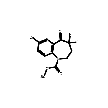 CC(C)(C)OC(=O)N1CCC(F)(F)C(=O)c2cc(Cl)ccc21